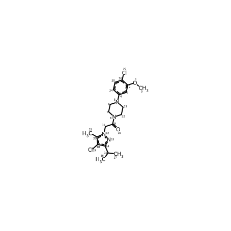 COc1cc(N2CCN(C(=O)Cn3nc(C(C)C)c(Cl)c3C)CC2)ccc1Cl